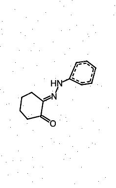 O=C1CCCC/C1=N\Nc1ccccc1